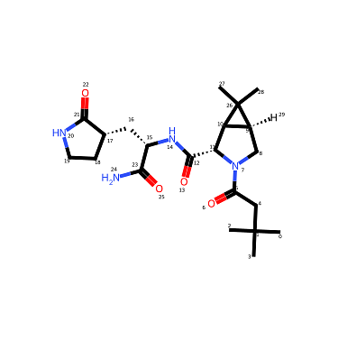 CC(C)(C)CC(=O)N1C[C@H]2C([C@H]1C(=O)N[C@@H](C[C@@H]1CCNC1=O)C(N)=O)C2(C)C